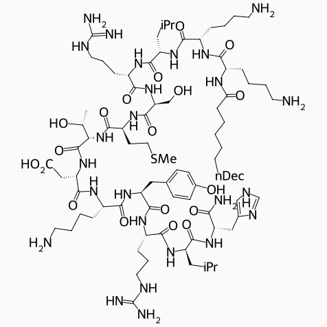 CCCCCCCCCCCCCCCC(=O)N[C@@H](CCCCN)C(=O)N[C@@H](CCCCN)C(=O)N[C@@H](CC(C)C)C(=O)N[C@@H](CCCNC(=N)N)C(=O)N[C@@H](CO)C(=O)N[C@@H](CCSC)C(=O)N[C@H](C(=O)N[C@@H](CC(=O)O)C(=O)N[C@@H](CCCCN)C(=O)N[C@@H](Cc1ccc(O)cc1)C(=O)N[C@@H](CCCNC(=N)N)C(=O)N[C@H](CC(C)C)C(=O)N[C@@H](Cc1c[nH]cn1)C(N)=O)[C@@H](C)O